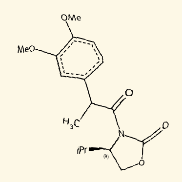 COc1ccc(C(C)C(=O)N2C(=O)OC[C@H]2C(C)C)cc1OC